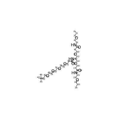 CCCOCCNC(=O)CCOCC(COCCC(=O)NCCOCCC)NC(=O)CCOCCOCCOCCOCCC(C)(C)C